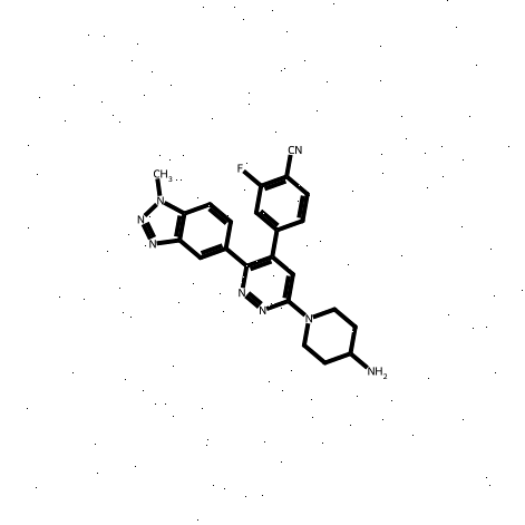 Cn1nnc2cc(-c3nnc(N4CCC(N)CC4)cc3-c3ccc(C#N)c(F)c3)ccc21